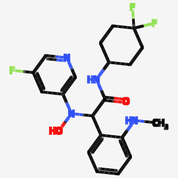 CNc1ccccc1C(C(=O)NC1CCC(F)(F)CC1)N(O)c1cncc(F)c1